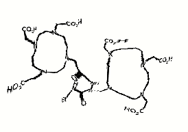 CCNC(=O)[C@@H](CN1CCN(CC(=O)O)CCN(CC(=O)O)CCN(CC(=O)O)CC1)NC(=O)CN1CCN(CC(=O)O)CCN(CC(=O)O)CCN(CC(=O)O)CC1